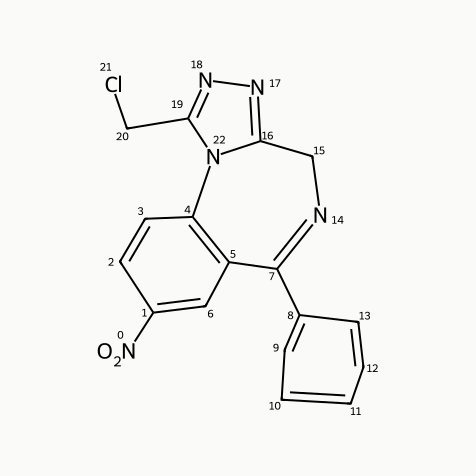 O=[N+]([O-])c1ccc2c(c1)C(c1ccccc1)=NCc1nnc(CCl)n1-2